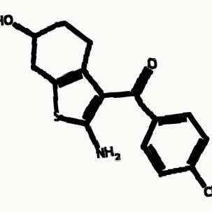 Nc1sc2c(c1C(=O)c1ccc(Cl)cc1)CCC(O)C2